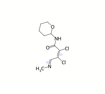 C/N=C/C(Cl)=C(/Cl)C(=O)NC1CCCCO1